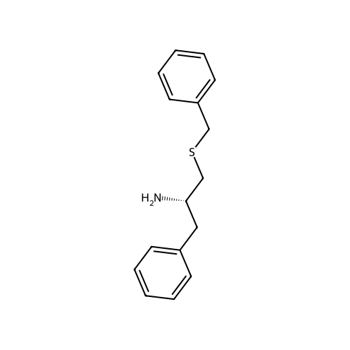 N[C@H](CSCc1ccccc1)Cc1ccccc1